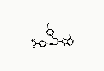 COc1ccc(CCN(CC#Cc2ccc(C(=O)O)cc2)c2nc3cccc(F)c3s2)cc1